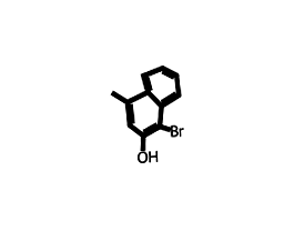 Cc1cc(O)c(Br)c2ccccc12